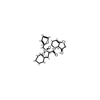 O=C1COC2=CCCN(C(=O)C(CC3CCCCC3)S(=O)(=O)Cc3ccco3)C12